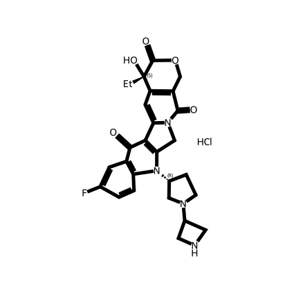 CC[C@@]1(O)C(=O)OCc2c1cc1n(c2=O)Cc2c-1c(=O)c1cc(F)ccc1n2[C@@H]1CCN(C2CNC2)C1.Cl